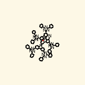 N#Cc1cc(-c2nc(-c3ccccc3)nc(-c3ccccc3)n2)cc(-c2cc(-n3c4ccc(-c5nc(-c6ccccc6)nc(-c6ccccc6)n5)cc4c4cc(-c5nc(-c6ccccc6)nc(-c6ccccc6)n5)ccc43)ccn2)c1-n1c2ccc(-c3nc(-c4ccccc4)nc(-c4ccccc4)n3)cc2c2cc(-c3nc(-c4ccccc4)nc(-c4ccccc4)n3)ccc21